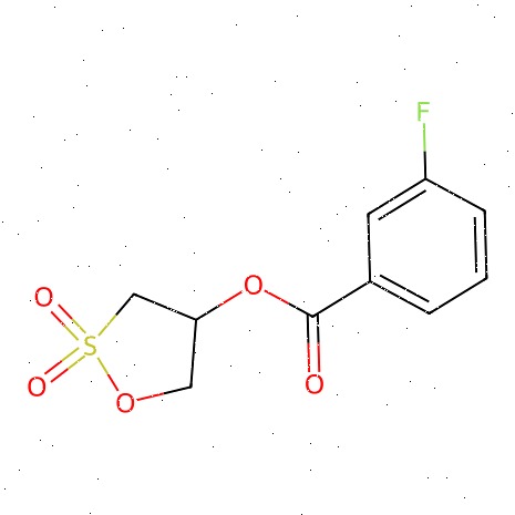 O=C(OC1COS(=O)(=O)C1)c1cccc(F)c1